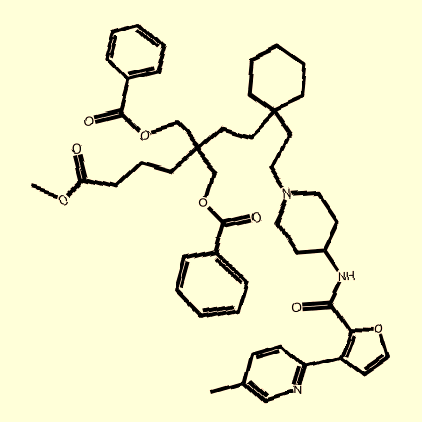 COC(=O)CCCC(CCC1(CCN2CCC(NC(=O)c3occc3-c3ccc(C)cn3)CC2)CCCCC1)(COC(=O)c1ccccc1)COC(=O)c1ccccc1